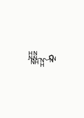 CNC(=N)N(C#N)CCNCCc1cccnn1